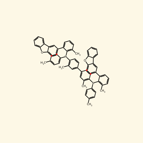 Cc1ccc(N(c2ccc(-c3ccc(N(c4ccc(C)cc4)c4c(C)cccc4-c4ccc5oc6ccccc6c5c4)c(C)c3)cc2C)c2c(C)cccc2-c2ccc3oc4ccccc4c3c2)cc1